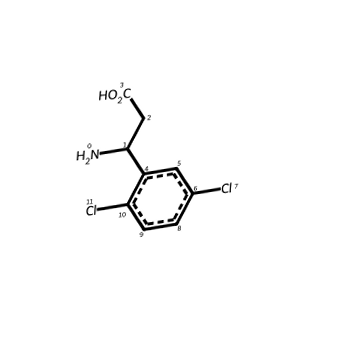 NC(CC(=O)O)c1cc(Cl)ccc1Cl